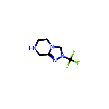 FC(F)(F)N1CN2CCNCC2=N1